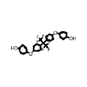 Oc1ccc(Oc2ccc(C(c3ccc(Oc4ccc(O)cc4)cc3)(C(F)(F)F)C(F)(F)F)cc2)cc1